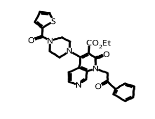 CCOC(=O)c1c(N2CCN(C(=O)c3cccs3)CC2)c2ccncc2n(CC(=O)c2ccccc2)c1=O